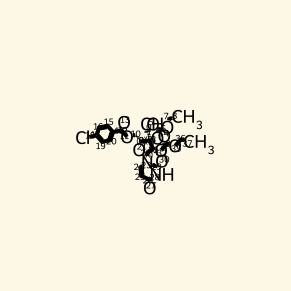 C#C[C@@]1(OC(=O)OCC)[C@@H](COC(=O)c2ccc(Cl)cc2)O[C@@H](n2ccc(=O)[nH]c2=O)[C@@H]1OC(=O)OCC